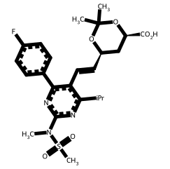 CC(C)c1nc(N(C)S(C)(=O)=O)nc(-c2ccc(F)cc2)c1/C=C/[C@@H]1C[C@H](C(=O)O)OC(C)(C)O1